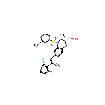 C/C(=C\c1ccc2c(c1)N(S(=O)(=O)c1cccc(C(F)(F)F)c1)[C@H](C)[C@H](CO)C2)c1c(F)cccc1Cl